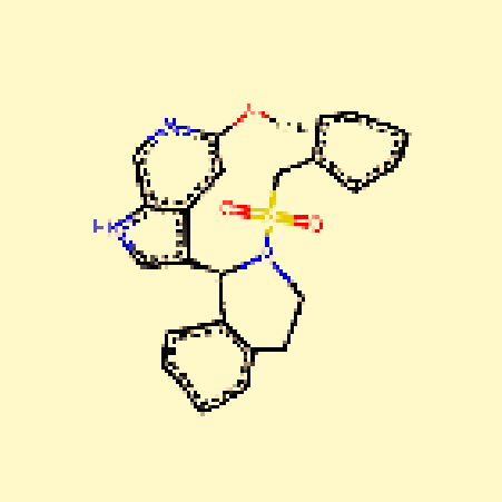 COc1cc2c([C@@H]3c4ccccc4CCN3S(=O)(=O)Cc3ccccc3)c[nH]c2cn1